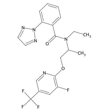 CCN(C(=O)c1ccccc1-n1nccn1)C(C)COc1ncc(C(F)(F)F)cc1F